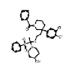 CC(SCCC1(c2ccc(Cl)c(Cl)c2)CCCN(C(=O)c2ccccc2)C1)(N1CCC(O)CC1)S(=O)(=O)c1ccccc1